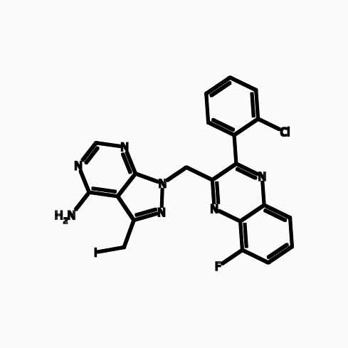 Nc1ncnc2c1c(CI)nn2Cc1nc2c(F)cccc2nc1-c1ccccc1Cl